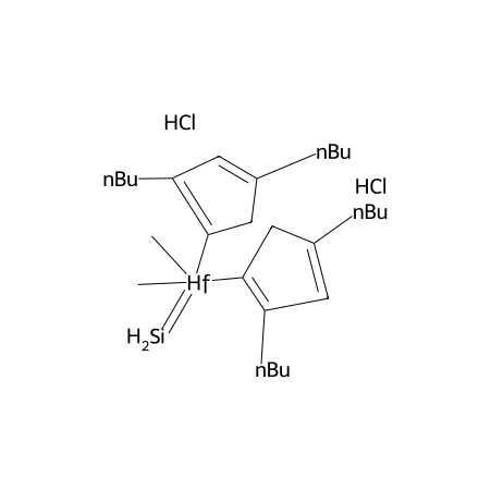 CCCCC1=CC(CCCC)=[C]([Hf]([CH3])([CH3])(=[SiH2])[C]2=C(CCCC)C=C(CCCC)C2)C1.Cl.Cl